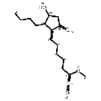 CCCCC1C(=CCCCCC(=C=O)OC)C(=O)CC1O